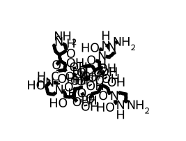 CC1OC(C2CCN(N)CC2O)C(O)C1O[PH](O)(O)OCC1OC(N2CCN(N)NC2O)C(O)C1O[PH](O)(O)OCC1OC(N2CCC(O)NC2O)C(O)C1O[PH](O)(O)OCC1OC(N2CCC(N)NC2O)C(O)C1O[PH](C)(O)O